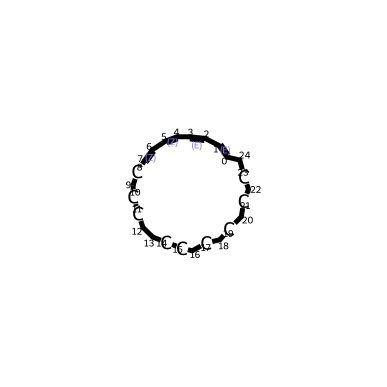 [C]1=C/C=C/C=C\C=C/CCCCCCCCCCCCCCCCC/1